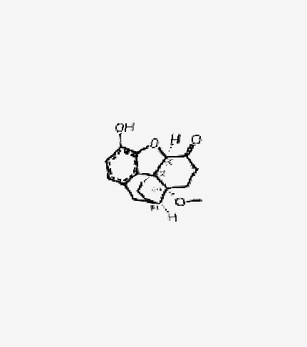 CO[C@@]12CCC(=O)[C@@H]3Oc4c(O)ccc5c4[C@@]31CCC[C@@H]2C5